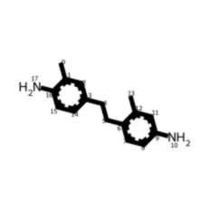 Cc1cc(CCc2ccc(N)cc2C)ccc1N